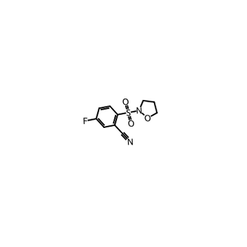 N#Cc1cc(F)ccc1S(=O)(=O)N1CCCO1